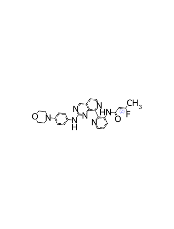 C/C(F)=C/C(=O)Nc1cccnc1-c1nccc2cnc(Nc3ccc(N4CCOCC4)cc3)nc12